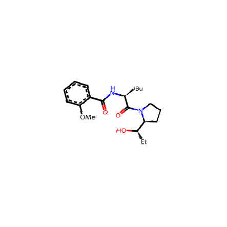 CCC(C)[C@H](NC(=O)c1ccccc1OC)C(=O)N1CCC[C@H]1[C@H](O)CC